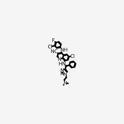 CN(C)CCn1cc([C@@H](Nc2cc(Cl)cc3c(Nc4ccc(F)c(Cl)c4)c(C#N)cnc23)c2ccccc2)nn1